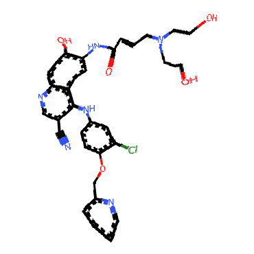 N#Cc1cnc2cc(O)c(NC(=O)/C=C/CN(CCO)CCO)cc2c1Nc1ccc(OCc2ccccn2)c(Cl)c1